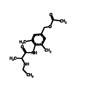 CCNC(C)C(=O)Nc1c(C)cc(COC(C)=O)cc1C